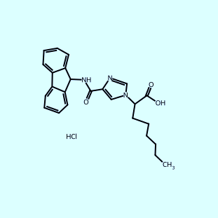 CCCCCCC(C(=O)O)n1cnc(C(=O)NC2c3ccccc3-c3ccccc32)c1.Cl